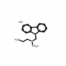 Cl.NCCN(CC1c2ccccc2-c2ccccc21)C(=O)O